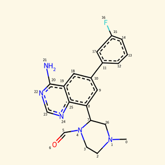 CN1CCN(C=O)C(c2cc(-c3cccc(F)c3)cc3c(N)ncnc23)C1